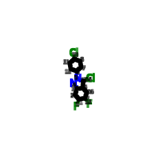 Fc1cc2nn(-c3ccc(Cl)cc3)c(Cl)c2cc1F